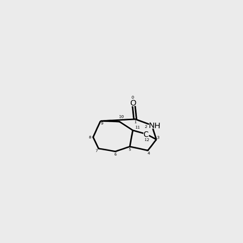 O=C1NC2CC3CCCC1CC3C2